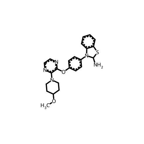 COC1CCN(c2nccnc2Oc2ccc(N3c4ccccc4SC3N)cc2)CC1